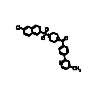 Cc1ccnc(-c2ccc(C(=O)N3CCN(S(=O)(=O)c4ccc5cc(Cl)ccc5c4)CC3)cc2)c1